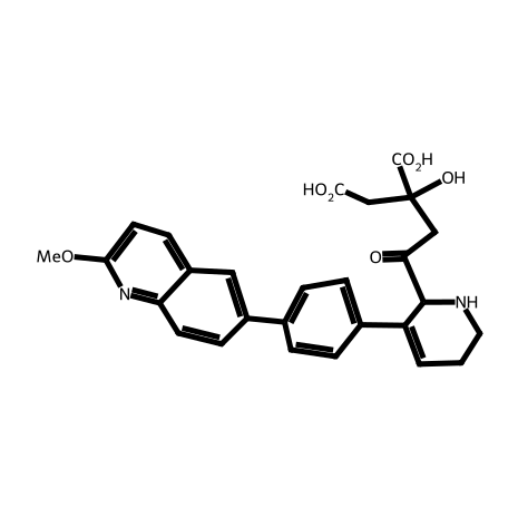 COc1ccc2cc(-c3ccc(C4=CCCNC4C(=O)CC(O)(CC(=O)O)C(=O)O)cc3)ccc2n1